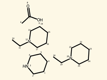 C1CCNCC1.CC(=O)O.CCN1CCCCC1.CCN1CCCCC1